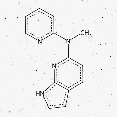 CN(c1ccccn1)c1ccc2cc[nH]c2n1